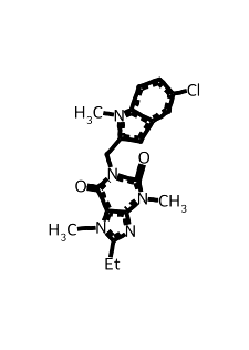 [CH2]Cc1nc2c(c(=O)n(Cc3cc4cc(Cl)ccc4n3C)c(=O)n2C)n1C